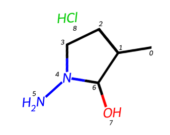 CC1CCN(N)C1O.Cl